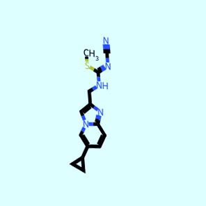 CS/C(=N\C#N)NCc1cn2cc(C3CC3)ccc2n1